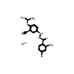 Cc1cc(Br)ccc1C(=O)NNc1ccc(SC(C)C)c(C#N)c1.[H-].[Na+]